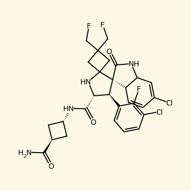 NC(=O)[C@H]1C[C@H](NC(=O)[C@@H]2NC3(CC(CF)(CF)C3)[C@@]3(C(=O)NC4C=C(Cl)C=CC43)[C@H]2c2cccc(Cl)c2F)C1